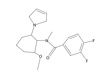 COC1CCCC(N2CC=CC2)C1N(C)C(=O)c1ccc(F)c(F)c1